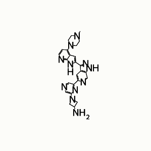 CN1CCN(c2ccnc3[nH]c(-c4n[nH]c5cnc(-c6cncc(N7CC(N)C7)n6)cc45)cc23)CC1